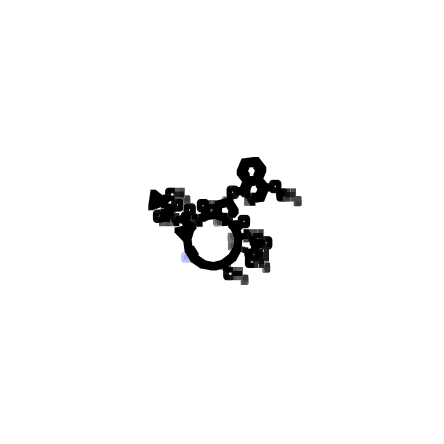 CC[C@@H]1C[C@@H](C)CC/C=C\C2CC2(C(=O)NS(=O)(=O)C2(C)CC2)NC(=O)[C@@H]2C[C@@H](Oc3ncc(OC)c4ccccc34)CN2C(=O)[C@H]1NC(=O)O